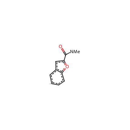 CNC(=O)c1cc2c[c]ccc2o1